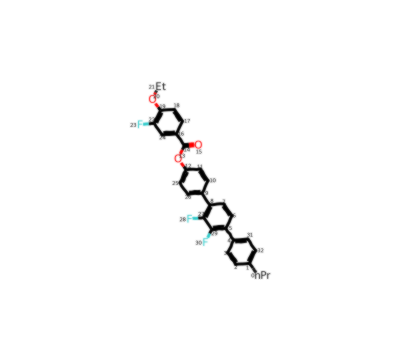 CCCc1ccc(-c2ccc(-c3ccc(OC(=O)c4ccc(OCC)c(F)c4)cc3)c(F)c2F)cc1